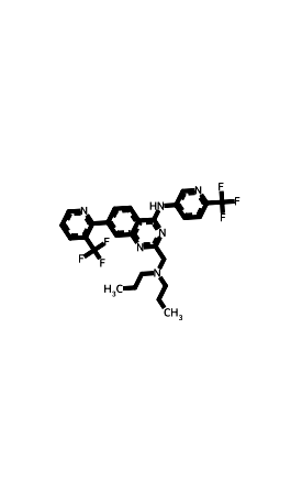 CCCN(CCC)Cc1nc(Nc2ccc(C(F)(F)F)nc2)c2ccc(-c3ncccc3C(F)(F)F)cc2n1